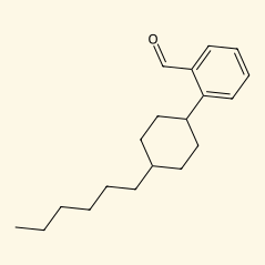 CCCCCCC1CCC(c2ccccc2C=O)CC1